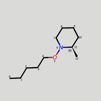 CCCCCON1CCCC[C@H]1C